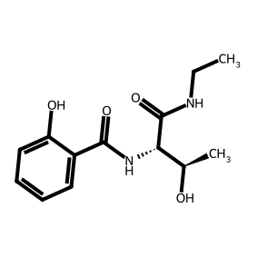 CCNC(=O)[C@@H](NC(=O)c1ccccc1O)[C@@H](C)O